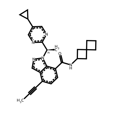 CC#Cc1ccc(C(=O)NC2CC3(CCC3)C2)c2c1cnn2[C@H](C)c1ncc(C2CC2)cn1